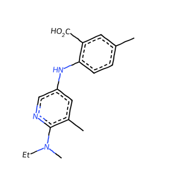 CCN(C)c1ncc(Nc2ccc(C)cc2C(=O)O)cc1C